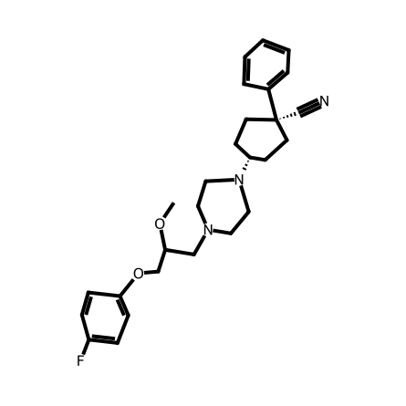 COC(COc1ccc(F)cc1)CN1CCN([C@H]2CC[C@](C#N)(c3ccccc3)CC2)CC1